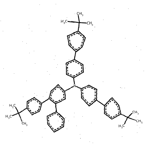 CC(C)(C)c1ccc(-c2ccc(N(c3ccc(-c4ccc(C(C)(C)C)cc4)cc3)c3ccc(-c4ccc(C(C)(C)C)cc4)c(-c4ccccc4)c3)cc2)cc1